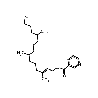 C/C(=C\COC(=O)c1cccnc1)CCCC(C)CCCC(C)CCCC(C)C